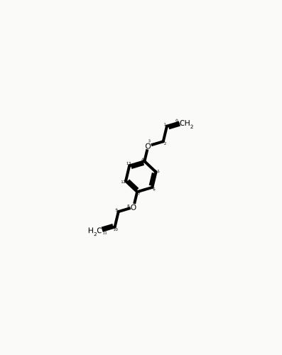 C=CCOc1[c]cc(OCC=C)cc1